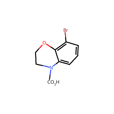 O=C(O)N1CCOc2c(Br)cccc21